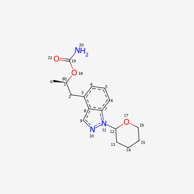 C[C@H](Cc1cccc2c1cnn2C1CCCCO1)OC(N)=O